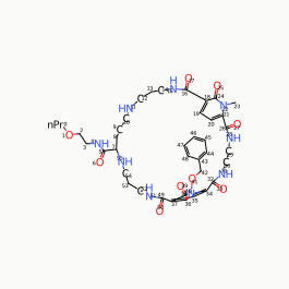 CCCOCCNC(=O)C1CCCNCCCNC(=O)c2ccc(n(C)c2=O)C(=O)NCCNC(=O)c2ccc(c(=O)n2OCc2ccccc2)C(=O)NCCCN1